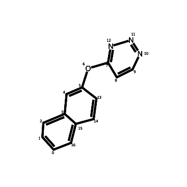 c1ccc2cc(Oc3ccnnn3)ccc2c1